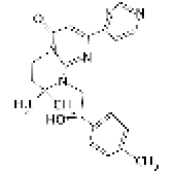 Cc1ccc([C@@H](O)CN2c3nc(-c4ccncn4)cc(=O)n3CCC2(C)C)cc1